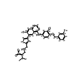 CC(C)C(CNCc1nc(-c2cc3c(Nc4ccc(OCc5cccc(F)c5)c(Cl)c4)ncnc3cc2F)cs1)=S(=O)=O